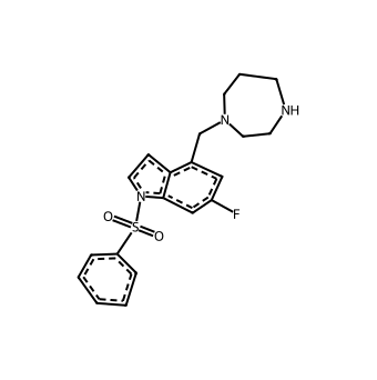 O=S(=O)(c1ccccc1)n1ccc2c(CN3CCCNCC3)cc(F)cc21